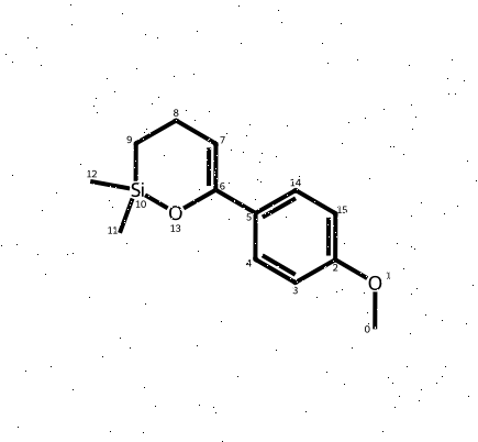 COc1ccc(C2=CCC[Si](C)(C)O2)cc1